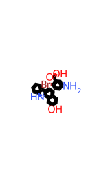 Nc1ccc(Br)c(C(=O)O)c1.Oc1ccc2ccc3c4ccccc4[nH]c3c2c1